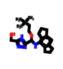 C[Si](C)(C)CCOC(Nc1c2c(cc3c1CCC3)CCC2)c1nnc(CO)[nH]1